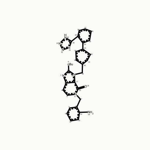 CCCCc1nc2ccn(Cc3ccccc3N)c(=O)c2n1Cc1ccc(-c2ccccc2-c2nnn[nH]2)cc1